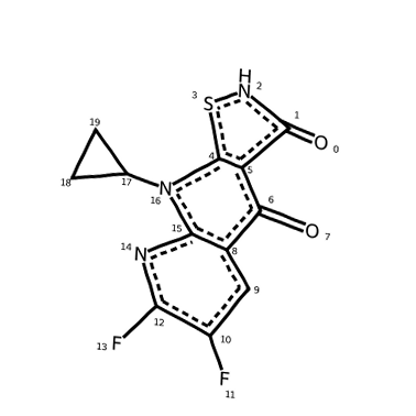 O=c1[nH]sc2c1c(=O)c1cc(F)c(F)nc1n2C1CC1